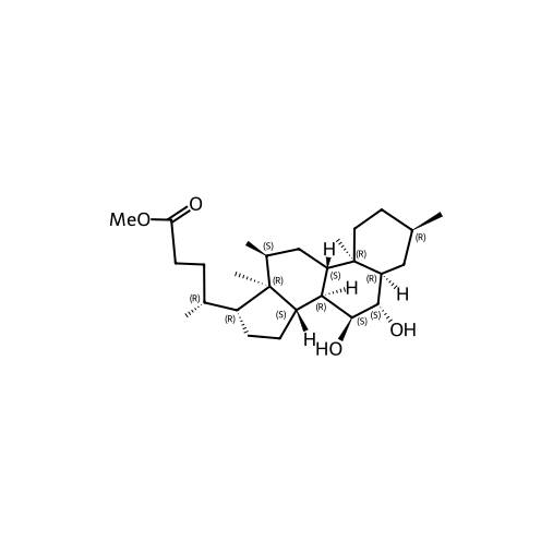 COC(=O)CC[C@@H](C)[C@H]1CC[C@H]2[C@@H]3[C@H](O)[C@@H](O)[C@@H]4C[C@H](C)CC[C@]4(C)[C@H]3C[C@H](C)[C@]12C